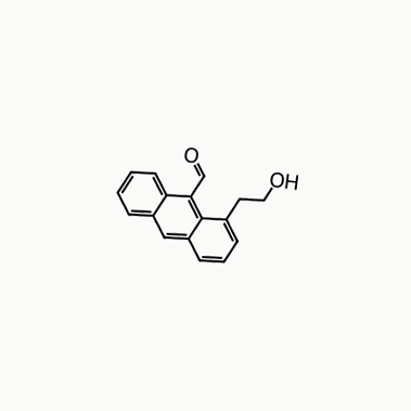 O=Cc1c2ccccc2cc2cccc(CCO)c12